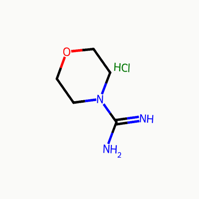 Cl.N=C(N)N1CCOCC1